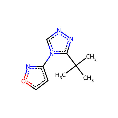 CC(C)(C)c1nncn1-c1ccon1